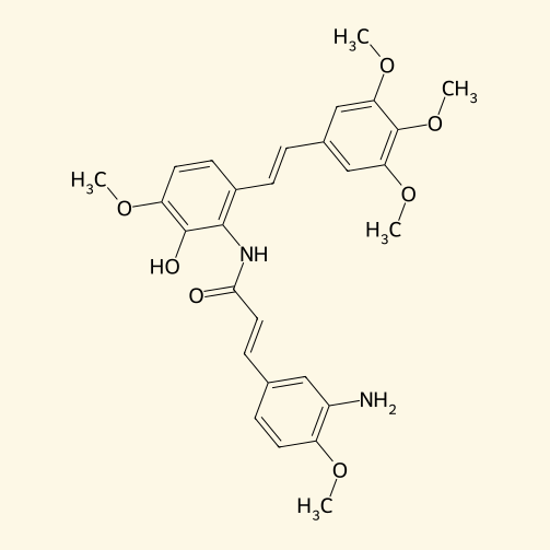 COc1ccc(/C=C/C(=O)Nc2c(/C=C/c3cc(OC)c(OC)c(OC)c3)ccc(OC)c2O)cc1N